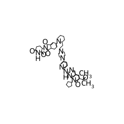 CC(=O)c1c(C)c2cnc(Nc3ccc(N4CCN(CCC5CCCCN5C5=CCC6C(=O)N(C7CCC(=O)NC7=O)C(=O)C6=C5)CC4)cn3)nc2n(C2CCCC2)c1=O